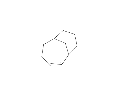 C1=CC2CCCC(CC1)C2